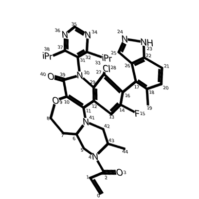 C=CC(=O)N1CC2CCOc3c(c4cc(F)c(-c5c(C)ccc6[nH]ncc56)c(Cl)c4n(-c4c(C(C)C)ncnc4C(C)C)c3=O)N2CC1C